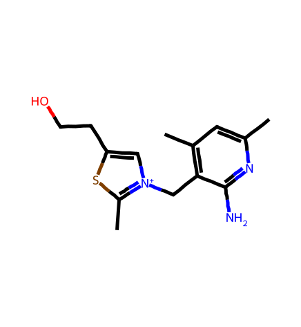 Cc1cc(C)c(C[n+]2cc(CCO)sc2C)c(N)n1